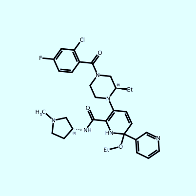 CCOC1(c2cccnc2)C=CC(N2CCN(C(=O)c3ccc(F)cc3Cl)C[C@H]2CC)=C(C(=O)N[C@@H]2CCN(C)C2)N1